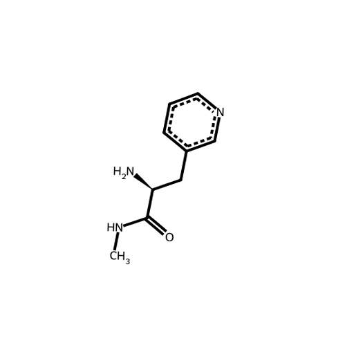 CNC(=O)[C@@H](N)Cc1cccnc1